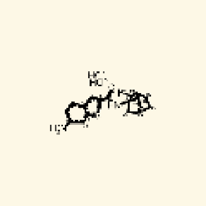 Cl.Cl.Nc1ccc2cc(C(=O)N[C@H]3CN4CCC3CC4)sc2c1